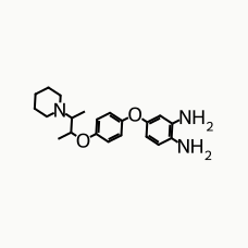 CC(Oc1ccc(Oc2ccc(N)c(N)c2)cc1)C(C)N1CCCCC1